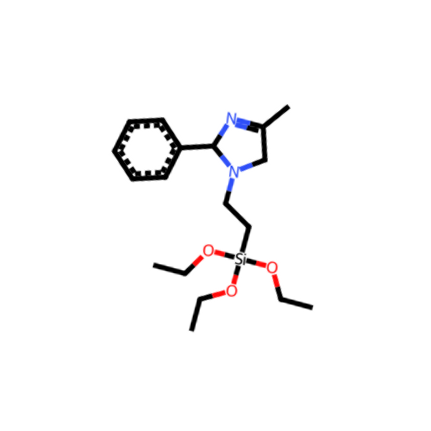 CCO[Si](CCN1CC(C)=NC1c1ccccc1)(OCC)OCC